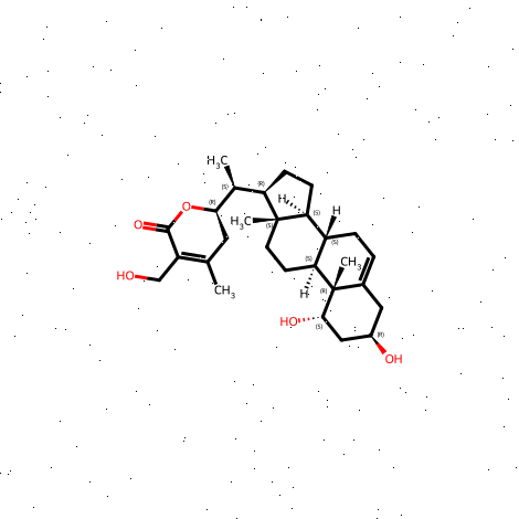 CC1=C(CO)C(=O)O[C@@H]([C@@H](C)[C@H]2CC[C@H]3[C@@H]4CC=C5C[C@@H](O)C[C@H](O)[C@]5(C)[C@H]4CC[C@]23C)C1